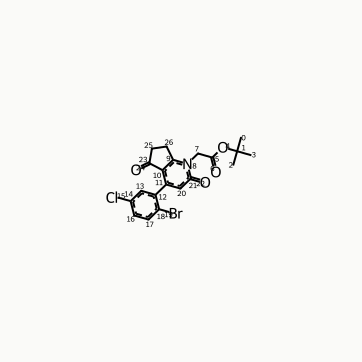 CC(C)(C)OC(=O)Cn1c2c(c(-c3cc(Cl)ccc3Br)cc1=O)C(=O)CC2